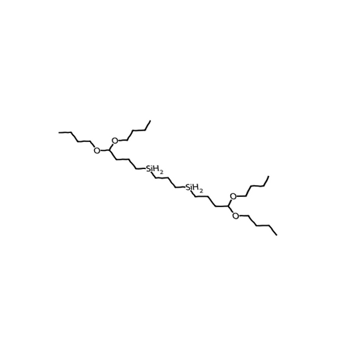 CCCCOC(CCC[SiH2]CCC[SiH2]CCCC(OCCCC)OCCCC)OCCCC